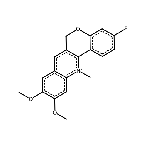 COc1cc2cc3c([n+](C)c2cc1OC)-c1ccc(F)cc1OC3